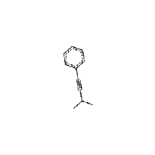 CC(C)C#Cc1c[c]ccc1